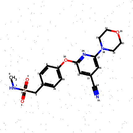 CNS(=O)(=O)Cc1ccc(Oc2cc(C#N)cc(N3CCOCC3)n2)cc1